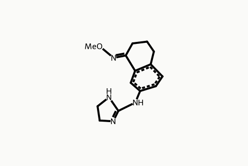 CON=C1CCCc2ccc(NC3=NCCN3)cc21